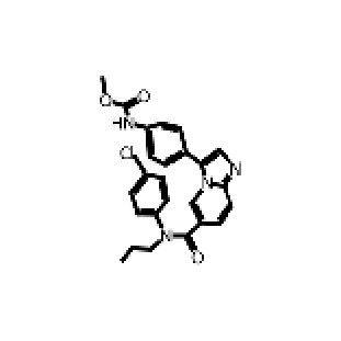 CCCN(C(=O)c1ccc2ncc(-c3ccc(NC(=O)OC)cc3)n2c1)c1ccc(Cl)cc1